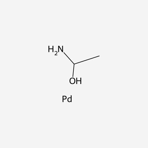 CC(N)O.[Pd]